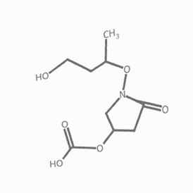 CC(CCO)ON1CC(OC(=O)O)CC1=O